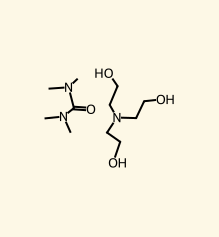 CN(C)C(=O)N(C)C.OCCN(CCO)CCO